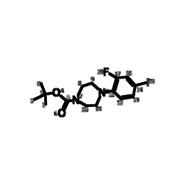 CC(C)(C)OC(=O)N1CCN(c2ccc(I)cc2F)CC1